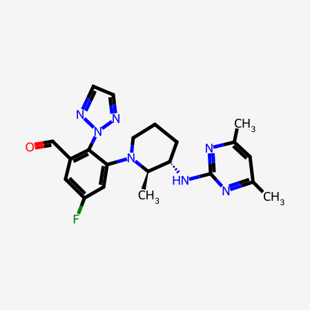 Cc1cc(C)nc(N[C@H]2CCCN(c3cc(F)cc(C=O)c3-n3nccn3)[C@@H]2C)n1